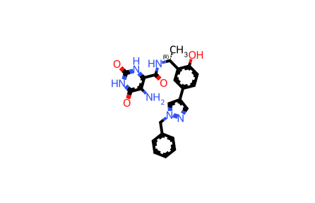 C[C@@H](NC(=O)c1[nH]c(=O)[nH]c(=O)c1N)c1cc(-c2cnn(Cc3ccccc3)c2)ccc1O